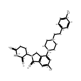 O=C1CCC(N2Cc3c(cc(F)cc3N3CCN(CCc4ccc(Cl)cc4)CC3)C2=O)C(=O)N1